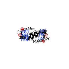 COC(=O)N[C@H](C(=O)NC1(c2nc(-c3ccc(-c4ccc(-c5c[nH]c(C6(NC(=O)[C@@H](NC(=O)OC)C(C)C)CCC6)n5)cc4)cc3)c[nH]2)CCC1)C(C)C